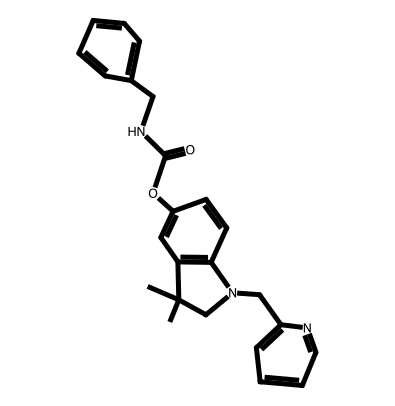 CC1(C)CN(Cc2ccccn2)c2ccc(OC(=O)NCc3ccccc3)cc21